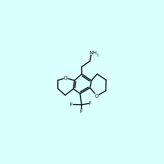 NCCc1c2c(c(C(F)(F)F)c3c1OCCC3)OCCC2